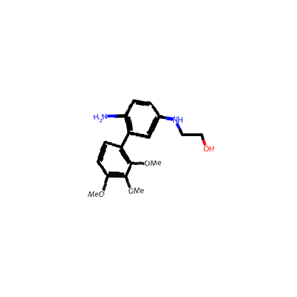 COc1ccc(-c2cc(NCCO)ccc2N)c(OC)c1OC